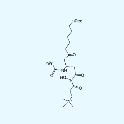 CCCCCCCCCCCCCCCC(=O)CC(CC(=O)P(O)C(=O)CC[N+](C)(C)C)NC(=O)CCC